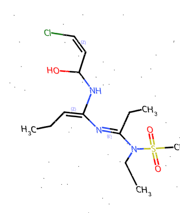 CC/C=C(\N=C(/CC)N(CC)S(C)(=O)=O)NC(O)/C=C\Cl